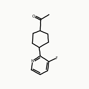 CC(=O)C1CCC(c2ncccc2F)CC1